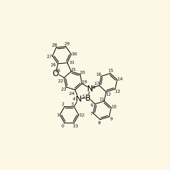 c1ccc(N2B3c4ccccc4-c4ccccc4N3c3cc4c(cc32)oc2ccccc24)cc1